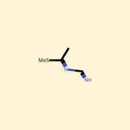 CS/C(C)=N/C=N